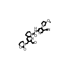 CO[C@H]1CCN(c2cc(NC(=O)N3CCCc4cc(CN5CCCOC5=O)c(C=O)nc43)ncc2C#N)C1